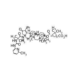 Cc1cccc(NC(=O)NC(C)(C)C(=O)N[C@@]23CC[C@]4(C)[C@H](CC[C@@H]5[C@@]6(C)CC[C@H](OC(=O)[C@H]7C[C@@H](C(=O)O)C7(C)C)C(C)(C)[C@@H]6CC[C@]54C)C2=C(C(C)C)C(=O)C3)n1